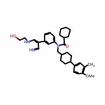 COc1ccc(C2CCC(CN(C(=O)C3CCCCC3)c3cccc(/C(C=N)=C/NCCO)c3)CC2)cc1C